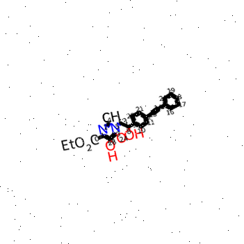 CCOC(=O)c1nc(C)n(CC(O)c2ccc(C#Cc3ccccc3)cc2)c(=O)c1O